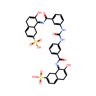 O=C(Nc1cccc(C(=O)N=C2C(O)=CCC3=CC=C(S(=O)(=O)O)CC32)c1)Nc1cccc(C(=O)N=C2C(O)=CCC3=CC=C(S(=O)(=O)O)CC32)c1